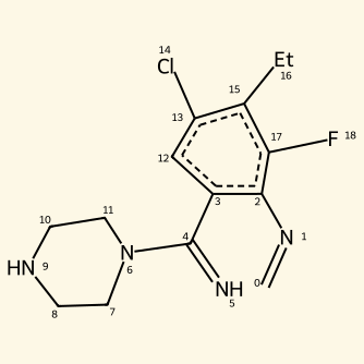 C=Nc1c(C(=N)N2CCNCC2)cc(Cl)c(CC)c1F